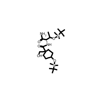 CC(O[Si](C)(C)C(C)(C)C)[C@H](NC(=O)C1(CO)CCC(O[Si](C)(C)C(C)(C)C)CC1)C(N)=O